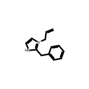 C=CC[n+]1cc[nH]c1Cc1ccccc1